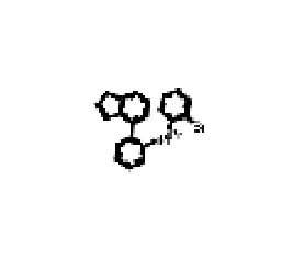 CC(C)c1ccccc1-c1cccc2c1C=CC2.CC(C)c1ccccc1Br